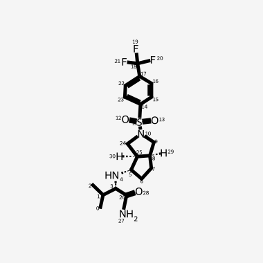 CC(C)[C@H](N[C@H]1CC[C@@H]2CN(S(=O)(=O)c3ccc(C(F)(F)F)cc3)C[C@@H]21)C(N)=O